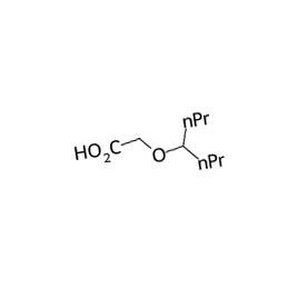 CCCC(CCC)OCC(=O)O